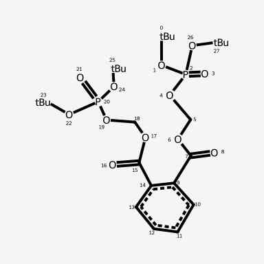 CC(C)(C)OP(=O)(OCOC(=O)c1ccccc1C(=O)OCOP(=O)(OC(C)(C)C)OC(C)(C)C)OC(C)(C)C